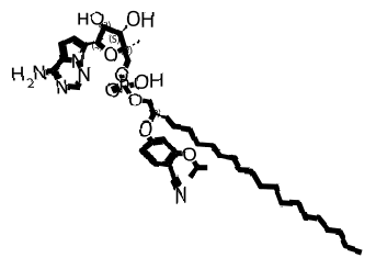 CCCCCCCCCCCCCCCCCCC[C@H](COP(=O)(O)OC[C@@]1(C)O[C@@H](c2ccc3c(N)ncnn23)[C@H](O)[C@@H]1O)Oc1ccc(C#N)c(OC(C)C)c1